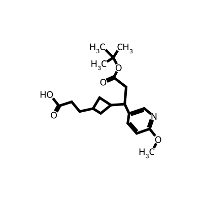 COc1ccc(C(CC(=O)OC(C)(C)C)C2CC(CCC(=O)O)C2)cn1